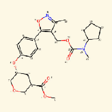 COC(=O)[C@H]1COC[C@H](Oc2ccc(-c3onc(C)c3COC(=O)N(C)C3CCCC3)cc2)C1